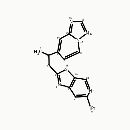 CC(C)c1cc2nc(CC(C)c3ccn4ncnc4c3)sc2cn1